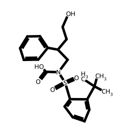 CC(C)(C)c1ccccc1S(=O)(=O)N(CC(CCO)c1ccccc1)C(=O)O